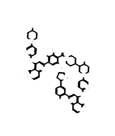 COc1cc(-c2cc(Nc3ccc(N4CCC(O)CC4)cn3)c3c(=O)[nH]ccc3n2)c(F)c(F)c1C(=O)N1CCC(C2CN(c3ccc(Nc4cc(-c5cc(C6CCCN6)ccc5F)nc5cc[nH]c(=O)c45)nc3)CCC2O)CC1